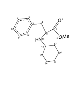 COC(=O)C(Cc1ccccc1)NC1CCCCC1